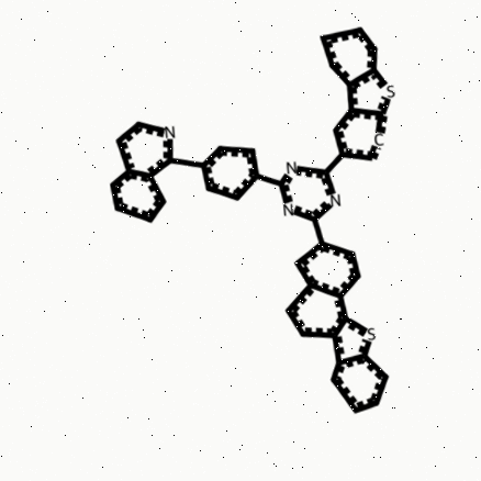 c1ccc2c(-c3ccc(-c4nc(-c5ccc6c(ccc7c8ccccc8sc67)c5)nc(-c5ccc6sc7ccccc7c6c5)n4)cc3)nccc2c1